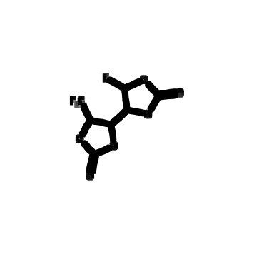 O=C1OC(F)C(C2OC(=O)OC2C(F)(F)F)O1